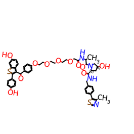 Cc1ncsc1-c1ccc(CNC(=O)[C@@H]2C[C@@H](O)CN2C(=O)C(C)NC(=O)COCCOCCOCCOc2ccc(C(=O)c3c(-c4ccc(O)cc4)sc4cc(O)ccc34)cc2)cc1